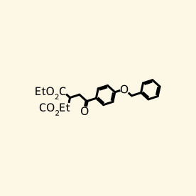 CCOC(=O)C(CC(=O)c1ccc(OCc2ccccc2)cc1)C(=O)OCC